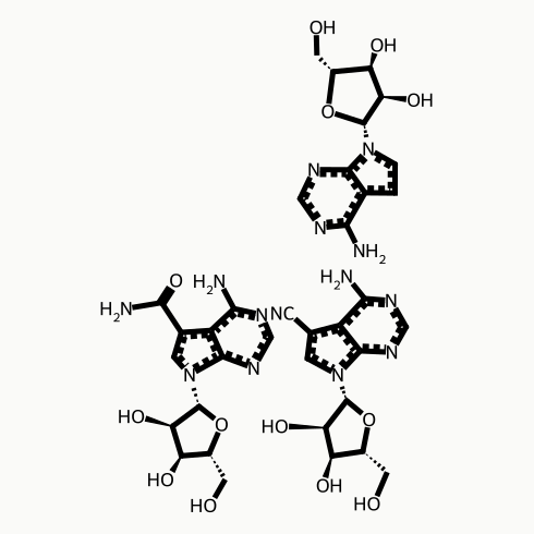 N#Cc1cn([C@@H]2O[C@H](CO)[C@@H](O)[C@H]2O)c2ncnc(N)c12.NC(=O)c1cn([C@@H]2O[C@H](CO)[C@@H](O)[C@H]2O)c2ncnc(N)c12.Nc1ncnc2c1ccn2[C@@H]1O[C@H](CO)[C@@H](O)[C@H]1O